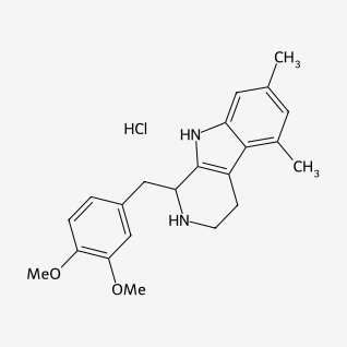 COc1ccc(CC2NCCc3c2[nH]c2cc(C)cc(C)c32)cc1OC.Cl